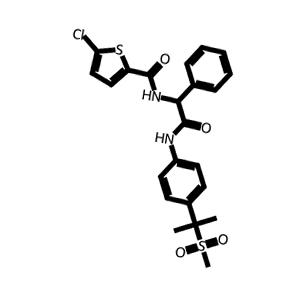 CC(C)(c1ccc(NC(=O)C(NC(=O)c2ccc(Cl)s2)c2ccccc2)cc1)S(C)(=O)=O